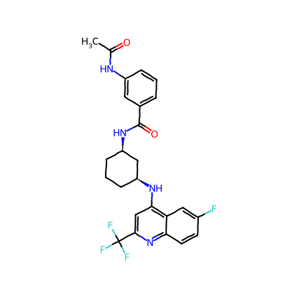 CC(=O)Nc1cccc(C(=O)N[C@@H]2CCC[C@H](Nc3cc(C(F)(F)F)nc4ccc(F)cc34)C2)c1